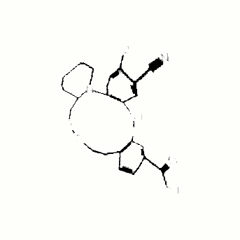 N#Cc1cc2c(cc1Cl)N1CCCCC1COCCCc1ccc(C(=O)O)cc1SN2